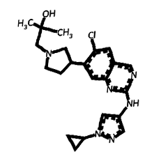 CC(C)(O)CN1CCC(c2cc3nc(Nc4cnn(C5CC5)c4)ncc3cc2Cl)C1